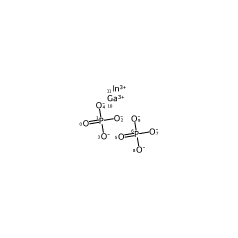 O=P([O-])([O-])[O-].O=P([O-])([O-])[O-].[Ga+3].[In+3]